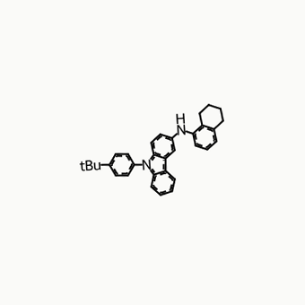 CC(C)(C)c1ccc(-n2c3ccccc3c3cc(Nc4cccc5c4CCCC5)ccc32)cc1